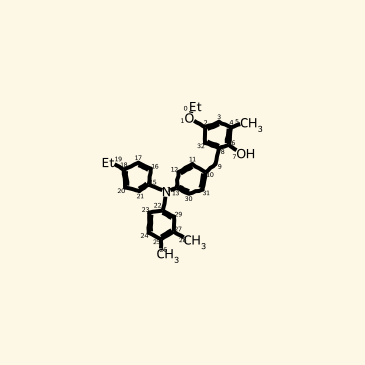 CCOc1cc(C)c(O)c(Cc2ccc(N(c3ccc(CC)cc3)c3ccc(C)c(C)c3)cc2)c1